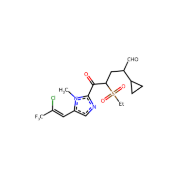 CCS(=O)(=O)C(CC(C=O)C1CC1)C(=O)c1ncc(C=C(Cl)C(F)(F)F)n1C